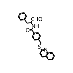 O=CC(Cc1ccccc1)NC(=O)c1ccc(CSc2ccc3ccccc3n2)cc1